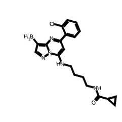 Bc1cnn2c(NCCCCNC(=O)C3CC3)cc(-c3ccccc3Cl)nc12